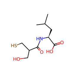 CC(C)C[C@H](NC(=O)C(CO)CS)C(=O)O